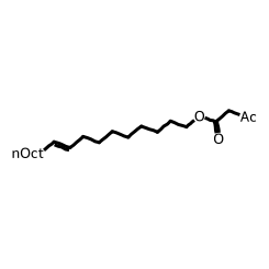 CCCCCCCCC=CCCCCCCCCOC(=O)CC(C)=O